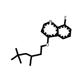 CC(CCOc1ccnc2c(F)cccc12)CC(C)(C)C